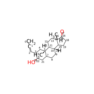 C=C=CC1C[C@@]2(C)C(CC[C@@H]3[C@@H]2CC[C@]2(C)C(=O)CC[C@@H]32)C[C@H]1O